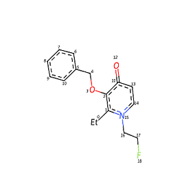 CCc1c(OCc2ccccc2)c(=O)ccn1CCF